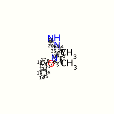 CCc1c(C)cc(OCC2(CC3CCCCC3)CCC2)nc1C1CCN[C@H](CC#N)C1